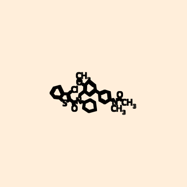 COc1ccc(-c2ccc(N(C)C(C)=O)cc2)cc1CN(C(=O)c1sc2ccccc2c1Cl)C1CCCCC1